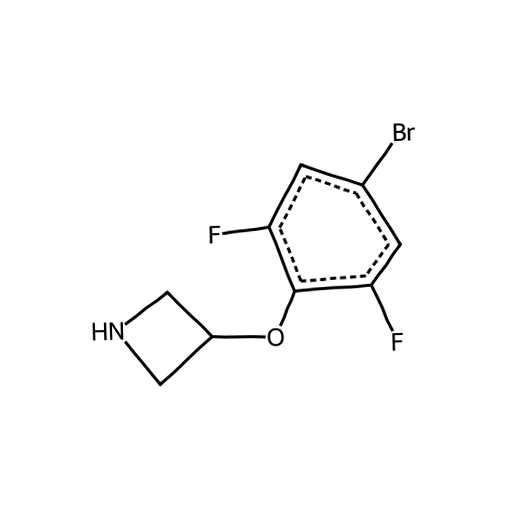 Fc1cc(Br)cc(F)c1OC1CNC1